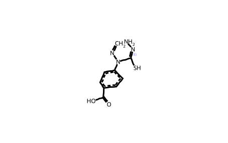 C=NN(/C(S)=N\N)c1ccc(C(=O)O)cc1